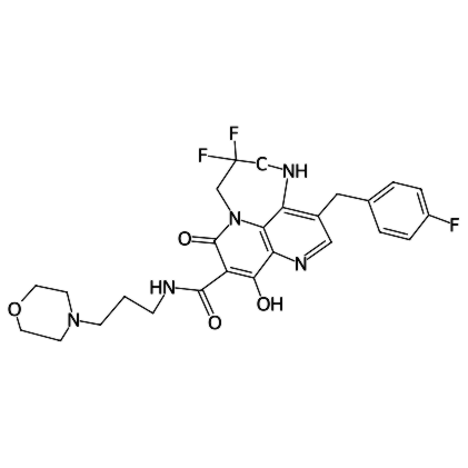 O=C(NCCCN1CCOCC1)c1c(O)c2ncc(Cc3ccc(F)cc3)c3c2n(c1=O)CC(F)(F)CN3